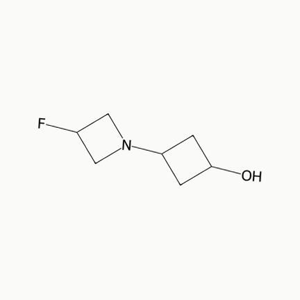 OC1CC(N2CC(F)C2)C1